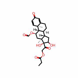 CCC(=O)OCC(=O)[C@@]1(O)C(O)C[C@H]2[C@@H]3CCC4=CC(=O)C=C[C@]4(C)[C@H]3[C@H](OC=O)C[C@@]21C